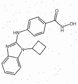 O=C(NO)c1ccc(Nc2nc3ccccc3n2C2CCC2)cc1